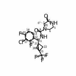 C[C@@H]1C(=O)NCCN1C(=O)N[C@@H](c1ccc(F)c(Cl)c1F)C12CC(C(F)(F)F)(C1)C2